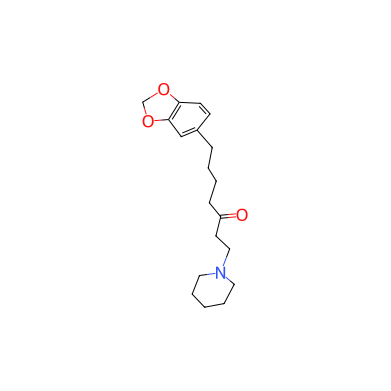 O=C(CCCCc1ccc2c(c1)OCO2)CCN1CCCCC1